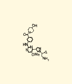 COc1cnc(Nc2cccc(C(=O)N3CCC(O)CC3)c2)nc1-c1cnn(C(CN)C2CC2)c1